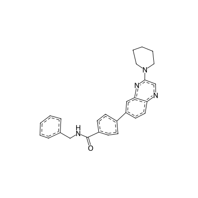 O=C(NCc1ccccc1)c1ccc(-c2ccc3ncc(N4CCCCC4)nc3c2)cc1